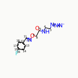 [N-]=[N+]=NCCNC(=O)CO/N=C/c1ccc(F)cc1